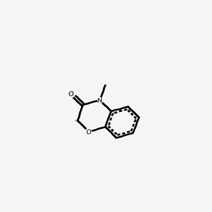 CN1C(=O)[C]Oc2ccccc21